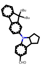 CCCCC1(CCCC)c2ccccc2-c2ccc(N3c4ccc(C=O)cc4C4CCCC43)cc21